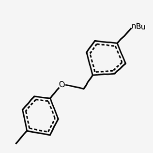 CCCCc1ccc(COc2ccc(C)cc2)cc1